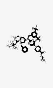 CCOC(=O)C1CCN(c2cnc(N(Cc3cc(C(F)(F)F)cc(C(F)(F)F)c3)[C@H]3C[C@@H](CC)N(C(=O)OC(C)(C)C)[C@@H](Cc4ccccc4)C3)nc2)CC1